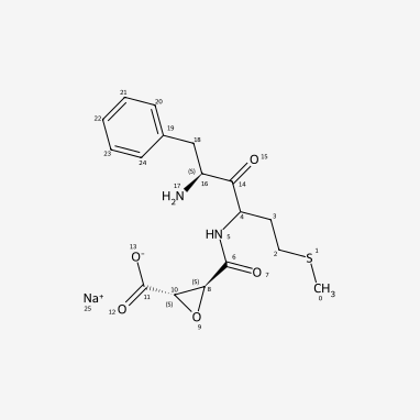 CSCCC(NC(=O)[C@H]1O[C@@H]1C(=O)[O-])C(=O)[C@@H](N)Cc1ccccc1.[Na+]